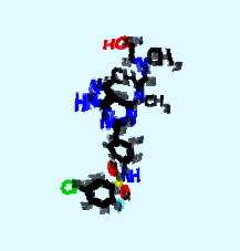 Cc1n[nH]c2nc(-c3ccc(NS(=O)(=O)c4cc(Cl)ccc4F)cc3)nc(N(C)CCN(C)CCO)c12